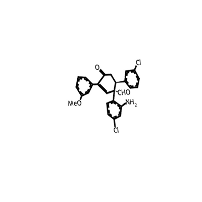 COc1cccc(C2=C[C@](C=O)(c3ccc(Cl)cc3N)[C@H](c3cccc(Cl)c3)CC2=O)c1